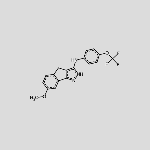 COc1ccc2c(c1)-c1n[nH]c(Nc3ccc(OC(F)(F)F)cc3)c1C2